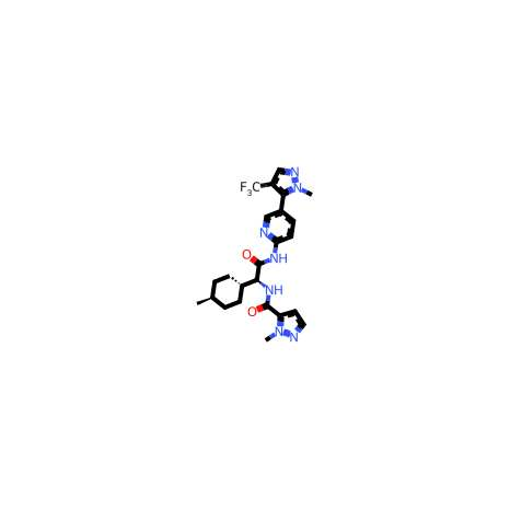 Cn1nccc1C(=O)N[C@H](C(=O)Nc1ccc(-c2c(C(F)(F)F)cnn2C)cn1)[C@H]1CC[C@H](C)CC1